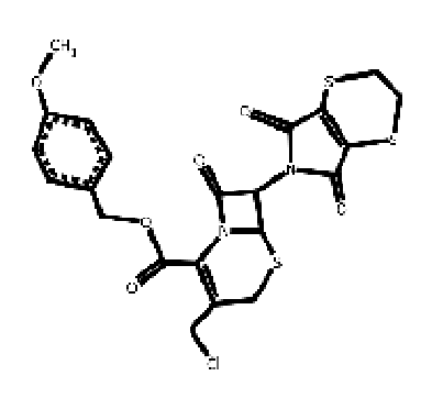 COc1ccc(COC(=O)C2=C(CCl)CSC3C(N4C(=O)C5=C(SCCS5)C4=O)C(=O)N23)cc1